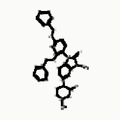 Cn1c(=O)n(-c2ccc(OCc3ccccc3)nc2OCc2ccccc2)c2ccc(C3CCN(C(C)(C)C)CC3F)cc21